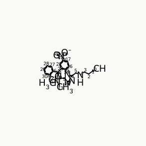 C#CCCNCc1nnc(CN(C)C)n1-c1ccc([N+](=O)[O-])cc1C(=O)c1ccccc1Cl